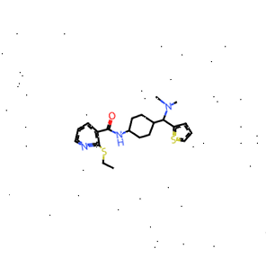 CCSc1ncccc1C(=O)NC1CCC(C(c2cccs2)N(C)C)CC1